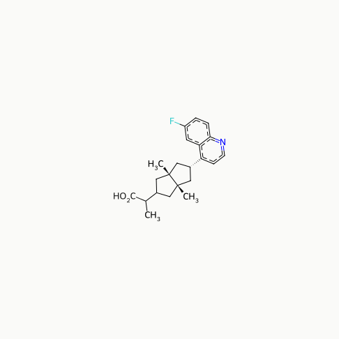 CC(C(=O)O)C1C[C@@]2(C)C[C@@H](c3ccnc4ccc(F)cc34)C[C@@]2(C)C1